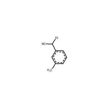 CCC(C#N)c1cccc(C)c1